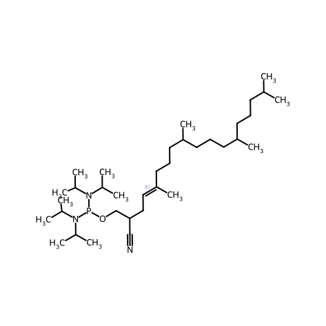 C/C(=C\CC(C#N)COP(N(C(C)C)C(C)C)N(C(C)C)C(C)C)CCCC(C)CCCC(C)CCCC(C)C